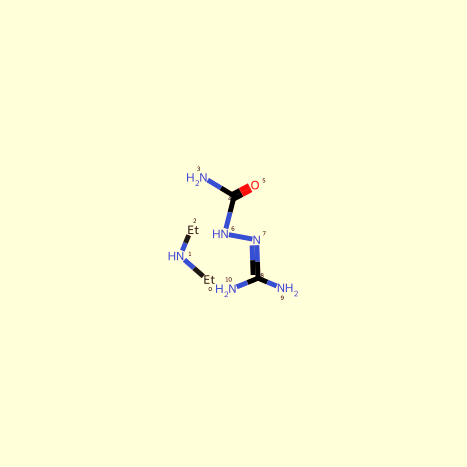 CCNCC.NC(=O)NN=C(N)N